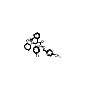 Cc1cnc(CONC(=O)[C@@H]2c3ccccc3C(=O)N([C@H]3CCCC[C@@H]3O)[C@H]2c2ccc(Cl)cc2)cn1